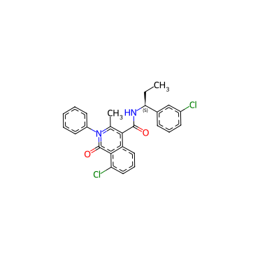 CC[C@H](NC(=O)c1c(C)n(-c2ccccc2)c(=O)c2c(Cl)cccc12)c1cccc(Cl)c1